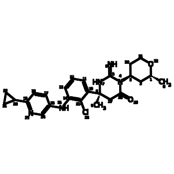 C[C@@H]1C[C@@H](N2C(=N)N[C@](C)(c3cccc(Nc4ccc(C5CC5)nc4)c3Cl)CC2=O)CCO1